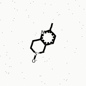 Cc1ccc2c(n1)CC[S+]([O-])C2